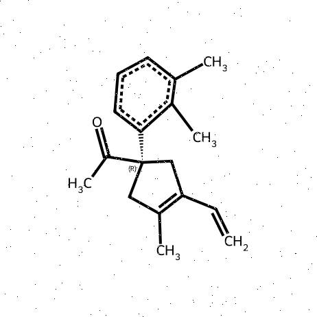 C=CC1=C(C)C[C@](C(C)=O)(c2cccc(C)c2C)C1